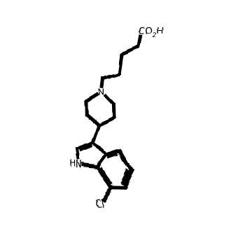 O=C(O)CCCCN1CCC(c2c[nH]c3c(Cl)cccc23)CC1